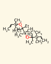 C=C[Si](C)(C)OC(C)(CC)[Si](C)(C)OC(C)(C)[Si](C)(C)C=C